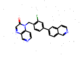 O=c1cnc2cnccc2n1Cc1ccc(-c2ccc3cnccc3c2)cc1F